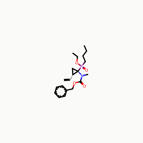 C=C[C@@H]1C[C@]1(N(C)C(=O)OCc1ccccc1)P(=O)(CCCC)OCC